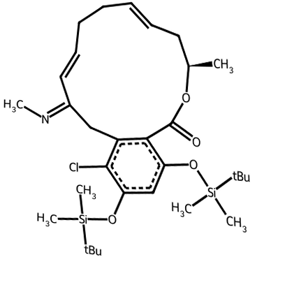 CN=C1/C=C/CC/C=C/C[C@@H](C)OC(=O)c2c(O[Si](C)(C)C(C)(C)C)cc(O[Si](C)(C)C(C)(C)C)c(Cl)c2C1